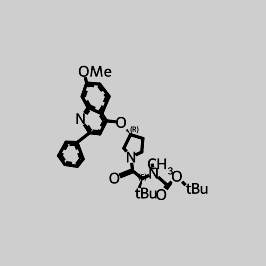 COc1ccc2c(O[C@@H]3CCN(C(=O)[C@@H](N(C)C(=O)OC(C)(C)C)C(C)(C)C)C3)cc(-c3ccccc3)nc2c1